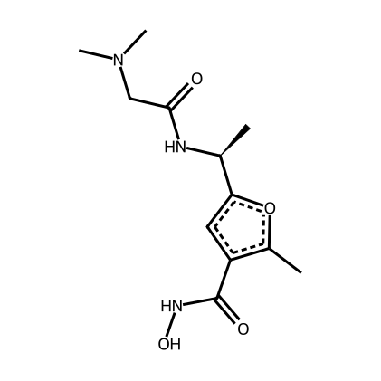 Cc1oc([C@H](C)NC(=O)CN(C)C)cc1C(=O)NO